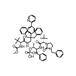 COC(=O)N[C@H](C(=O)N[C@@H](C[C@H](OP(=O)(O)O)C(Cc1ccccc1)NC(=O)[C@@H](N1CCN(Cc2ccccc2)C1=O)C(C)(C)C)C(Cc1ccccc1)(Cc1ccccc1)c1ccc(-c2ccccn2)cc1)C(C)(C)C